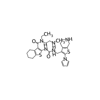 CCN(CCNC)C(=O)c1c(NC(=O)NCc2c(-n3cccc3)sc3c2CCNC3)sc2c1CCCC2